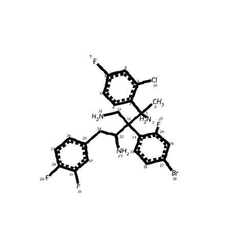 CC(N)(c1ccc(F)cc1Cl)C(CN)(c1ccc(Br)cc1F)C(N)Cc1ccc(F)c(F)c1